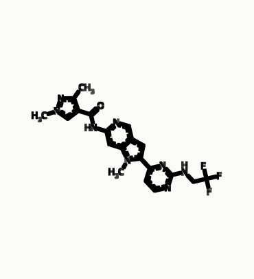 Cc1nn(C)cc1C(=O)Nc1cc2c(cn1)cc(-c1ccnc(NCC(F)(F)F)n1)n2C